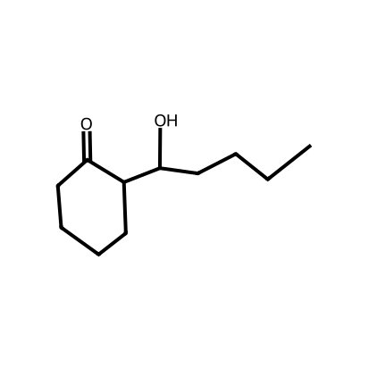 CCCCC(O)C1CCCCC1=O